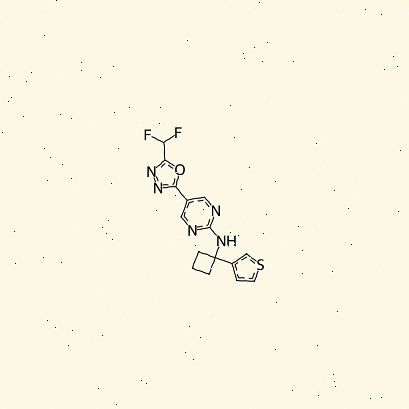 FC(F)c1nnc(-c2cnc(NC3(c4ccsc4)CCC3)nc2)o1